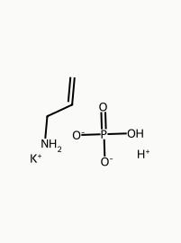 C=CCN.O=P([O-])([O-])O.[H+].[K+]